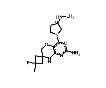 CN[C@@H]1CCN(c2nc(N)nc3c2OCC2(CC(F)(F)C2)N3)C1